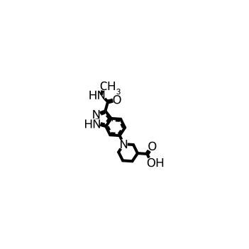 CNC(=O)c1n[nH]c2cc(N3CCCC(C(=O)O)C3)ccc12